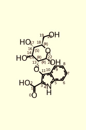 O=C(O)c1[nH]c2ccccc2c1O[C@@H]1[C@@H](O)[C@H](O)[C@@H](CO)O[C@H]1O